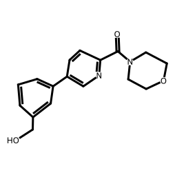 O=C(c1ccc(-c2cccc(CO)c2)cn1)N1CCOCC1